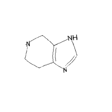 c1nc2c([nH]1)C[N]CC2